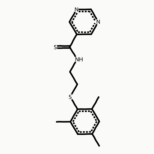 Cc1cc(C)c(SCCNC(=S)c2cncnc2)c(C)c1